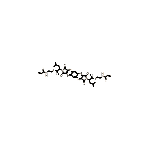 C=CC(=O)NCCOC(=O)C(CC(C)C)n1c(=O)c2nc3cc4nc5c(=O)n(C(CC(C)C)C(=O)OCCNC(=O)C=C)c(=O)c5nc4cc3nc2c1=O